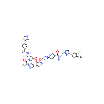 Cc1ncsc1-c1ccc([C@H](C)NC(=O)C2C[C@@H](O)CN2C(=O)[C@H](C(C)C)n2cc(-c3ccnc(OC4CN(c5ccc(C(=O)N[C@@H](C)Cn6ccc(-c7ccc(C#N)c(Cl)c7)n6)cn5)C4)c3)cn2)cc1